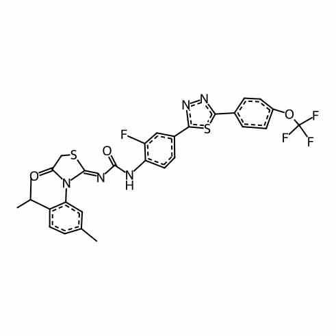 Cc1ccc(C(C)C)c(N2C(=O)CSC2=NC(=O)Nc2ccc(-c3nnc(-c4ccc(OC(F)(F)F)cc4)s3)cc2F)c1